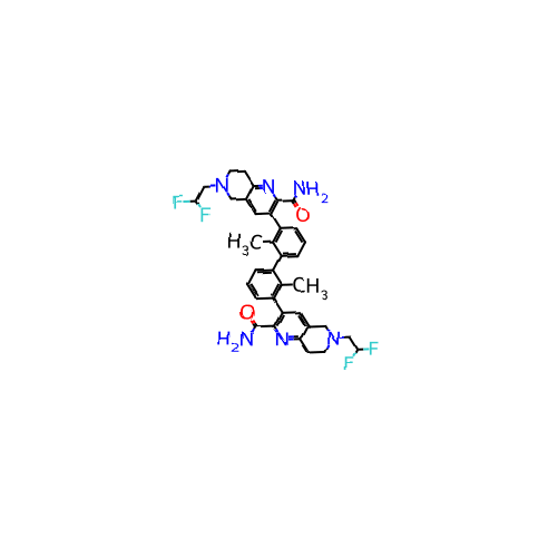 Cc1c(-c2cc3c(nc2C(N)=O)CCN(CC(F)F)C3)cccc1-c1cccc(-c2cc3c(nc2C(N)=O)CCN(CC(F)F)C3)c1C